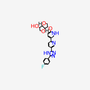 O[C@@H]1CO[C@H]2[C@@H]1OC[C@@H]2OC1=CC=C(c2ccc(-c3nnc(-c4ccc(F)cc4)[nH]3)cn2)CN1